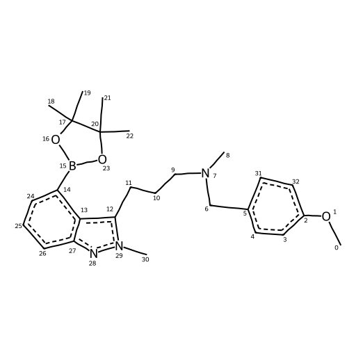 COc1ccc(CN(C)CCCc2c3c(B4OC(C)(C)C(C)(C)O4)cccc3nn2C)cc1